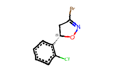 Clc1ccccc1[C@@H]1CC(Br)=NO1